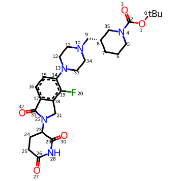 CC(C)(C)OC(=O)N1CCC[C@H](CN2CCN(c3ccc4c(c3F)CN(C3CCC(=O)NC3=O)C4=O)CC2)C1